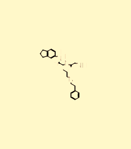 NCC(=O)N[C@@H](CCCNCCc1ccccc1)C(=O)Nc1ccc2c(c1)CCC2